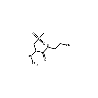 CCOC(=O)NC(CS(C)(=O)=O)C(=O)NCCC#N